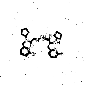 CN=CC(=O)N(Cc1cccc(Br)n1)C1CCCC1.NC(=O)[C@H](Cc1cccc(Br)n1)NC1CCCC1